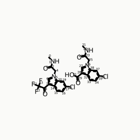 CNC(=O)Cn1cc(C(=O)C(F)(F)F)c2ccc(Cl)cc21.CNC(=O)Cn1cc(C(=O)O)c2ccc(Cl)cc21